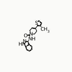 Cc1ccsc1C1=CCN(C(=O)Nc2n[nH]c3ccccc23)CC1